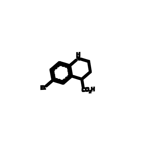 CCc1ccc2c(c1)C(C(=O)O)CCN2